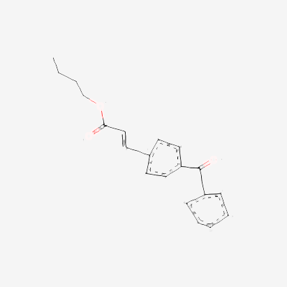 CCCCOC(=O)C=Cc1ccc(C(=O)c2ccccc2)cc1